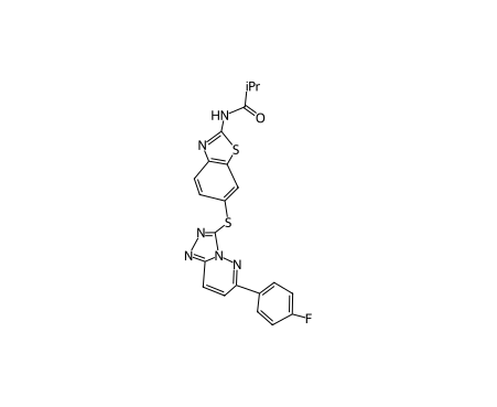 CC(C)C(=O)Nc1nc2ccc(Sc3nnc4ccc(-c5ccc(F)cc5)nn34)cc2s1